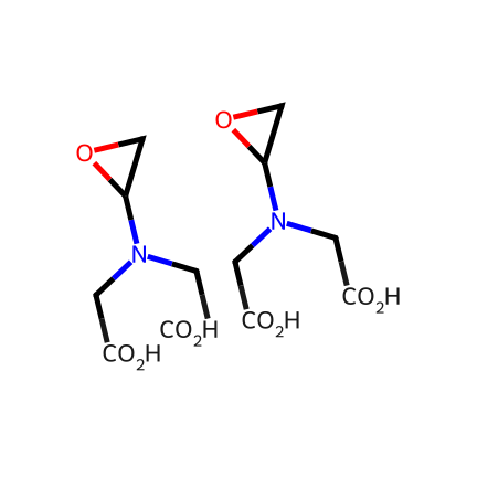 O=C(O)CN(CC(=O)O)C1CO1.O=C(O)CN(CC(=O)O)C1CO1